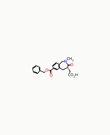 CN1Cc2ccc(C(=O)OCc3ccccc3)cc2C[C@H](CC(=O)O)C1=O